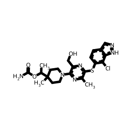 Cc1nc(N2CCC(C)(C(C)OC(N)=O)CC2)c(CO)nc1Sc1ccc2cn[nH]c2c1Cl